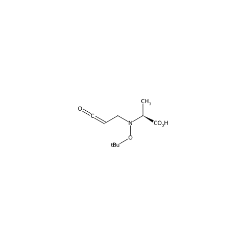 C[C@@H](C(=O)O)N(CC=C=O)OC(C)(C)C